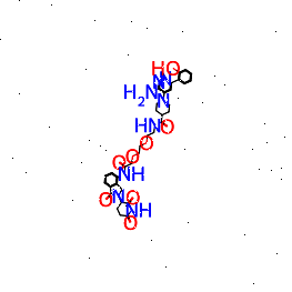 Nc1nnc(-c2ccccc2O)cc1N1CCC(C(=O)NCCOCCOCC(=O)Nc2cccc3c2CN(C2CCC(=O)NC2=O)C3=O)CC1